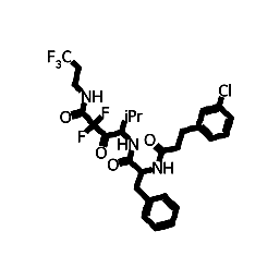 CC(C)C(NC(=O)C(Cc1ccccc1)NC(=O)CCc1cccc(Cl)c1)C(=O)C(F)(F)C(=O)NCCC(F)(F)F